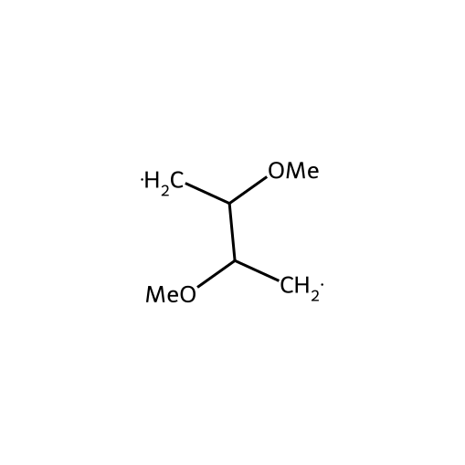 [CH2]C(OC)C([CH2])OC